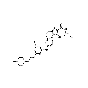 CCC[C@@H]1CNc2c(sc3ccc4nc(Nc5cc(F)nc(OCCN6CCN(C)CC6)n5)ccc4c23)C(=O)N1